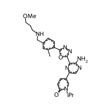 COCCCNCc1ccc(-c2nnc(-c3nc(-c4ccc(=O)n(C(C)C)c4)cnc3N)o2)c(C)c1